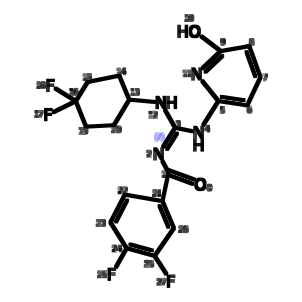 O=C(/N=C(\Nc1cccc(O)n1)NC1CCC(F)(F)CC1)c1ccc(F)c(F)c1